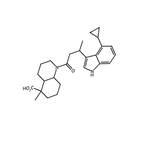 CC(CC(=O)N1CCCC2C1CCCC2(C)C(=O)O)c1c[nH]c2cccc(C3CC3)c12